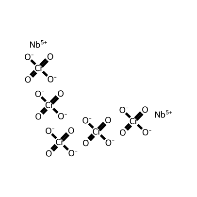 [Nb+5].[Nb+5].[O]=[Cr](=[O])([O-])[O-].[O]=[Cr](=[O])([O-])[O-].[O]=[Cr](=[O])([O-])[O-].[O]=[Cr](=[O])([O-])[O-].[O]=[Cr](=[O])([O-])[O-]